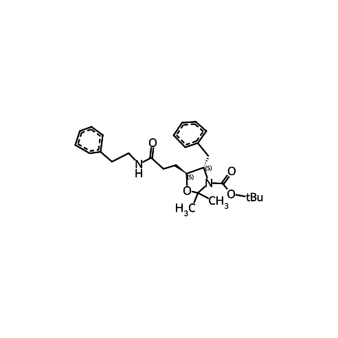 CC(C)(C)OC(=O)N1[C@@H](Cc2ccccc2)[C@H](CCC(=O)NCCc2ccccc2)OC1(C)C